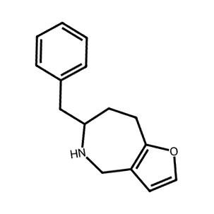 c1ccc(CC2CCc3occc3CN2)cc1